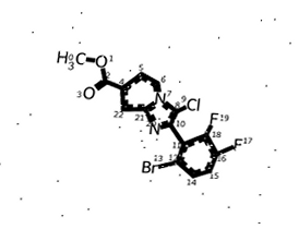 COC(=O)c1ccn2c(Cl)c(-c3c(Br)ccc(F)c3F)nc2c1